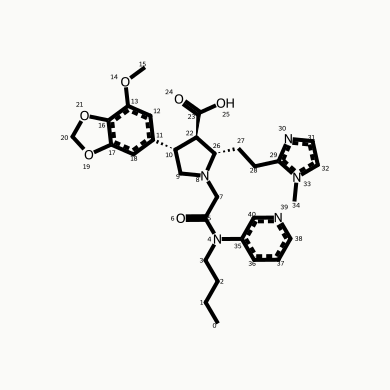 CCCCN(C(=O)CN1C[C@H](c2cc(OC)c3c(c2)OCO3)[C@@H](C(=O)O)[C@@H]1CCc1nccn1C)c1cccnc1